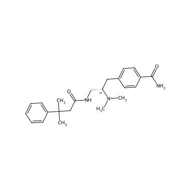 CN(C)[C@H](CNC(=O)CC(C)(C)c1ccccc1)Cc1ccc(C(N)=O)cc1